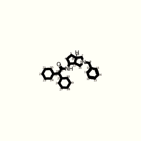 O=C(NC1CC[C@H]2CN(Cc3ccccc3)CC12)C(C1CCCCC1)C1CCCCC1